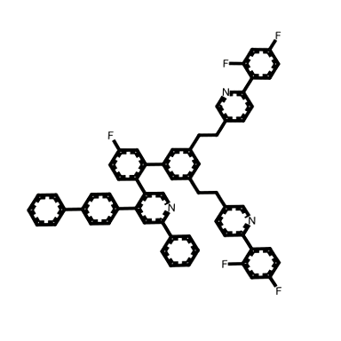 Fc1ccc(-c2ccc(CCc3cc(CCc4ccc(-c5ccc(F)cc5F)nc4)cc(-c4cc(F)ccc4-c4cnc(-c5ccccc5)cc4-c4ccc(-c5ccccc5)cc4)c3)cn2)c(F)c1